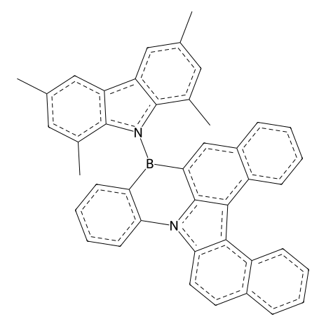 Cc1cc(C)c2c(c1)c1cc(C)cc(C)c1n2B1c2ccccc2-n2c3ccc4ccccc4c3c3c4ccccc4cc1c32